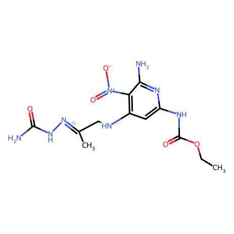 CCOC(=O)Nc1cc(NC/C(C)=N/NC(N)=O)c([N+](=O)[O-])c(N)n1